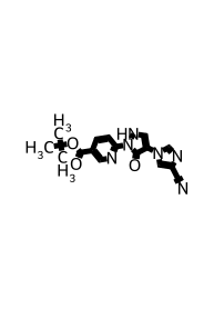 CC(C)(C)OC(=O)c1ccc(-n2[nH]cc(-n3cnc(C#N)c3)c2=O)nc1